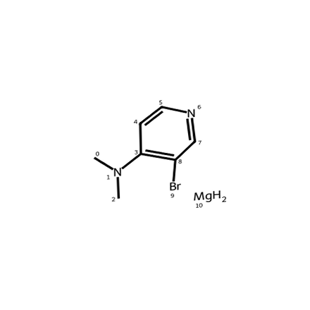 CN(C)c1ccncc1Br.[MgH2]